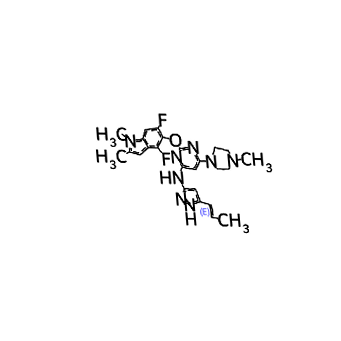 C/C=C/c1cc(Nc2cc(N3CCN(C)CC3)nc(Oc3c(F)cc4c(cc(C)n4C)c3F)n2)n[nH]1